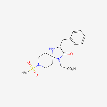 CCCCS(=O)(=O)N1CCC2(CC1)NC(Cc1ccccc1)C(=O)N2CC(=O)O